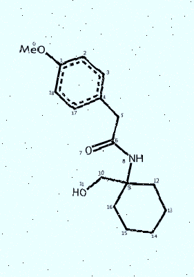 COc1ccc(CC(=O)NC2(CO)CCCCC2)cc1